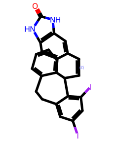 O=c1[nH]c2ccc(/C=C\C3c4ccccc4CCc4cc(I)cc(I)c43)cc2[nH]1